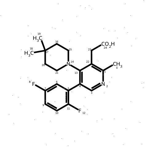 Cc1ncc(-c2cc(F)ccc2F)c(N2CCC(C)(C)CC2)c1CC(=O)O